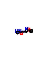 O=C(/C=C/c1ccc(Oc2ccccc2)nc1)NC1CCCCC1